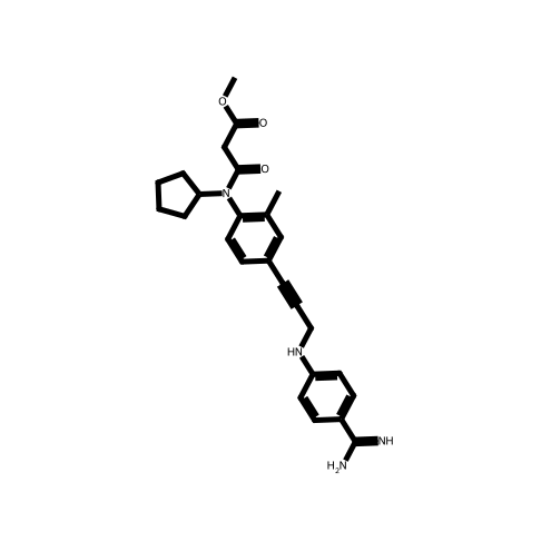 COC(=O)CC(=O)N(c1ccc(C#CCNc2ccc(C(=N)N)cc2)cc1C)C1CCCC1